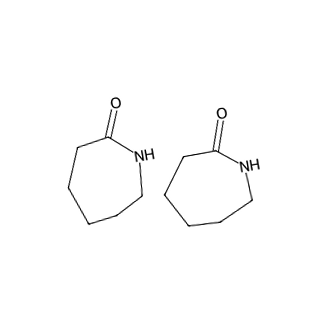 O=C1CCCCCN1.O=C1CCCCCN1